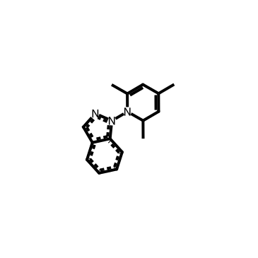 CC1=CC(C)N(n2ncc3ccccc32)C(C)=C1